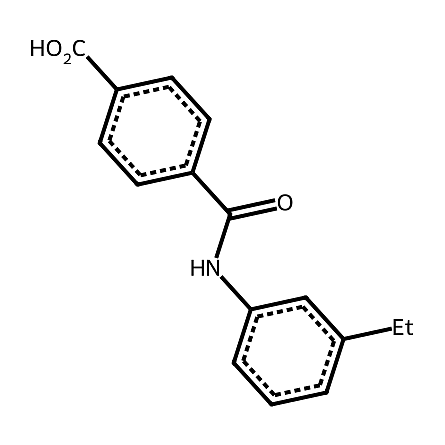 CCc1cccc(NC(=O)c2ccc(C(=O)O)cc2)c1